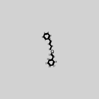 [C](=Cc1ccccc1)CCO[C]=Cc1ccccc1